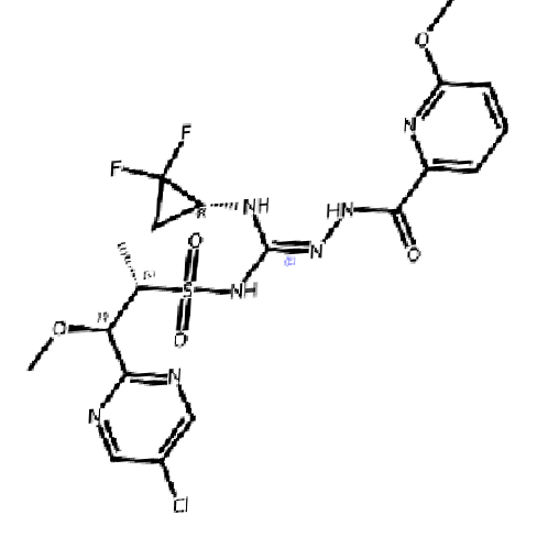 COc1cccc(C(=O)N/N=C(\N[C@@H]2CC2(F)F)NS(=O)(=O)[C@@H](C)[C@H](OC)c2ncc(Cl)cn2)n1